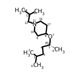 CC(C)CC[C@@H](C)OC1CCN(CC(C)C)CC1